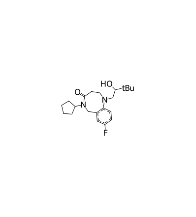 CC(C)(C)C(O)CN1CCC(=O)N(C2CCCC2)Cc2cc(F)ccc21